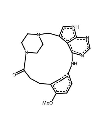 COc1ccc2cc1CCC(=O)N1CCN(CC1)Cc1c[nH]c3ncnc(c13)N2